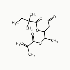 C=C(C)C(=O)OC(C)C(CC=O)OC(=O)C(C)(C)CC